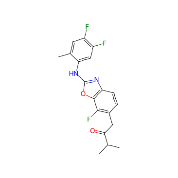 Cc1cc(F)c(F)cc1Nc1nc2ccc(CC(=O)C(C)C)c(F)c2o1